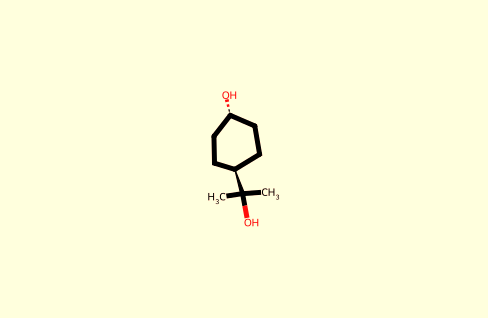 CC(C)(O)[C@H]1CC[C@H](O)CC1